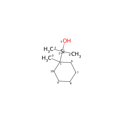 CC1([Si](C)(C)O)CCCCC1